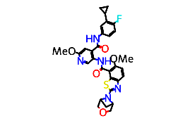 COc1cc(C(=O)Nc2ccc(F)c(C3CC3)c2)c(NC(=O)c2c(OC)ccc3nc(N4C5COCC4C5)sc23)cn1